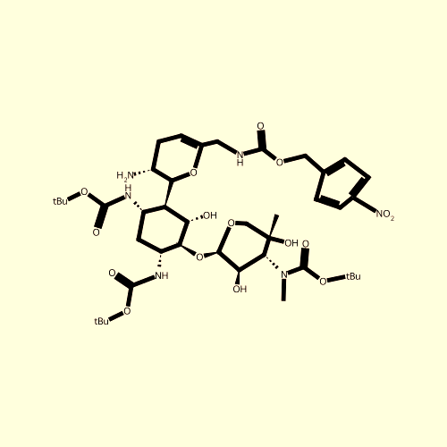 CN(C(=O)OC(C)(C)C)[C@@H]1[C@@H](O)[C@@H](O[C@@H]2[C@@H](O)[C@H](C3OC(CNC(=O)OCc4ccc([N+](=O)[O-])cc4)=CC[C@H]3N)[C@@H](NC(=O)OC(C)(C)C)C[C@H]2NC(=O)OC(C)(C)C)OC[C@]1(C)O